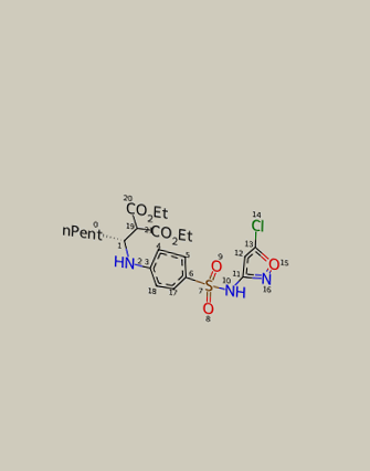 CCCCC[C@@H](Nc1ccc(S(=O)(=O)Nc2cc(Cl)on2)cc1)C(C(=O)OCC)C(=O)OCC